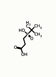 CC(C)(C)P(=O)(O)CCC(=O)O